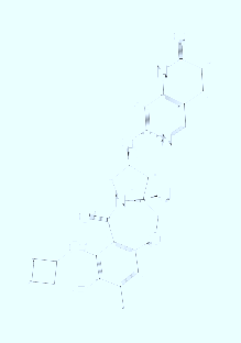 Cc1cc2c(c(OC3CCC3)c1F)C(=O)N1C[C@@H](Oc3cc4c(cn3)CCC(=O)N4)C[C@@H]1CO2